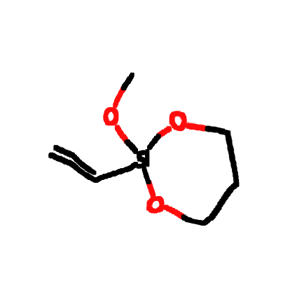 C=C[Si]1(OC)OCCCO1